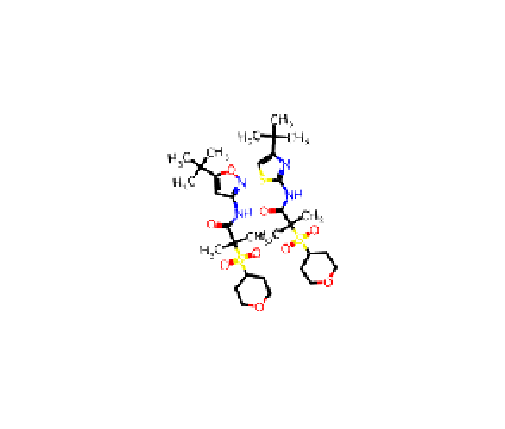 CC(C)(C)c1cc(NC(=O)C(C)(C)S(=O)(=O)C2CCOCC2)no1.CC(C)(C)c1csc(NC(=O)C(C)(C)S(=O)(=O)C2CCOCC2)n1